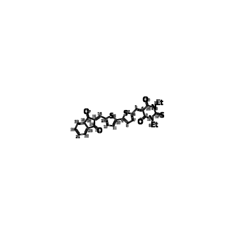 CCN1C(=O)C(=Cc2ccc(-c3ccc(C=C4C(=O)c5ccccc5C4=O)s3)s2)C(=O)N(CC)C1=S